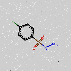 NNS(=O)(=O)c1ccc(F)cc1